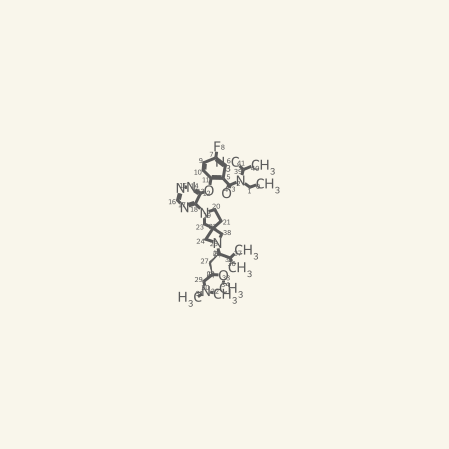 CCN(C(=O)c1cc(F)ccc1Oc1nncnc1N1CCC2(C1)CN([C@H](C[C@H](CN(C)C)OC)C(C)C)C2)C(C)C